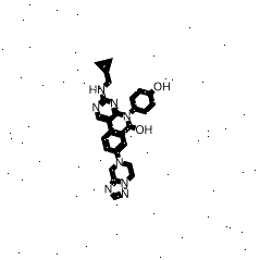 OC1CCC(N2c3nc(NCC4CC4)ncc3-c3ccc(N4CCn5ncnc5C4)cc3C2O)CC1